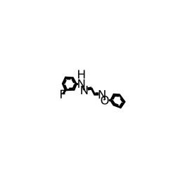 Fc1cccc(NN=CC=NOc2ccccc2)c1